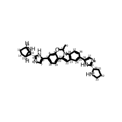 CC1Oc2cc(-c3cnc([C@H]4N[C@@H]5CC[C@H]4C5)[nH]3)ccc2-c2cc3cc(-c4cnc([C@@H]5CCCN5)[nH]4)ccc3n21